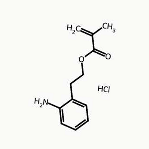 C=C(C)C(=O)OCCc1ccccc1N.Cl